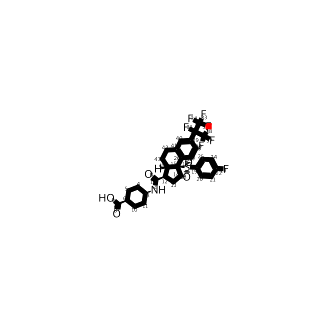 O=C(N[C@H]1CC[C@H](C(=O)O)CC1)[C@@H]1CC[C@@]2(S(=O)(=O)c3ccc(F)cc3)c3ccc(C(F)(C(F)(F)F)C(F)(F)F)cc3CC[C@@H]12